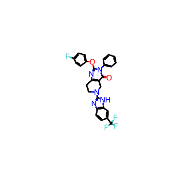 O=c1c2c(nc(Oc3ccc(F)cc3)n1-c1ccccc1)CCN(c1nc3ccc(C(F)(F)F)cc3[nH]1)C2